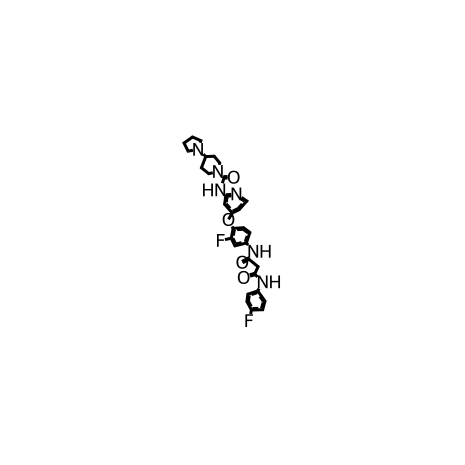 O=C(CC(=O)Nc1ccc(Oc2ccnc(NC(=O)N3CCC(N4CCCC4)CC3)c2)c(F)c1)Nc1ccc(F)cc1